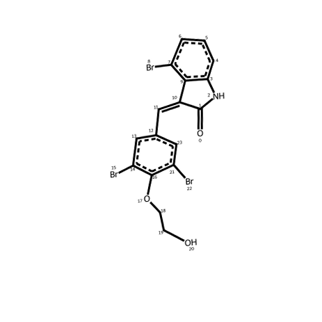 O=C1Nc2cccc(Br)c2C1=Cc1cc(Br)c(OCCO)c(Br)c1